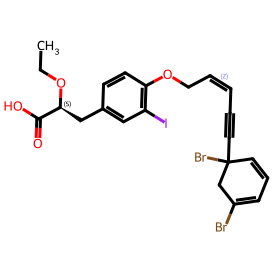 CCO[C@@H](Cc1ccc(OC/C=C\C#CC2(Br)C=CC=C(Br)C2)c(I)c1)C(=O)O